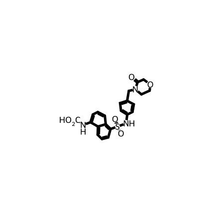 O=C(O)Nc1cccc2c(S(=O)(=O)Nc3ccc(CN4CCOCC4=O)cc3)cccc12